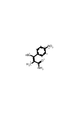 CCCCC(=C(C)C(N)=O)c1ccc([N+](=O)[O-])cc1